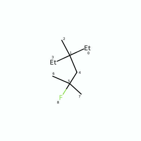 CCC(C)(CC)CC(C)(C)F